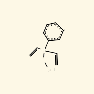 C=C[Si](C=C)(O[SiH3])c1ccccc1